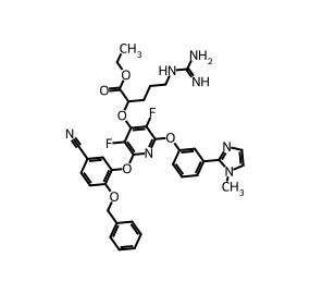 CCOC(=O)C(CCCNC(=N)N)Oc1c(F)c(Oc2cccc(-c3nccn3C)c2)nc(Oc2cc(C#N)ccc2OCc2ccccc2)c1F